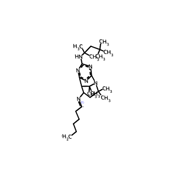 [CH2]CCCC/[C]=N/C1CC(C)(C)N2c3nc(NC(C)(C)CC(C)(C)C)nc(n3)C1C2(C)C